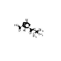 CC(C)(C)OC(=O)N1C[C@H]2C[C@@H]1[C@H](C(=O)O)C2